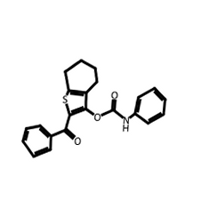 O=C(Nc1ccccc1)Oc1c(C(=O)c2ccccc2)sc2c1CCCC2